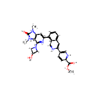 COC(=O)c1ccc(-c2cc3cccc(-c4cc5c(c(N6CC(O)C6)n4)n(C)c(=O)n5C)c3cn2)cn1